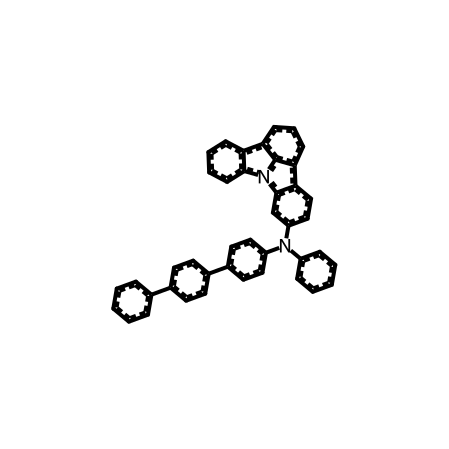 c1ccc(-c2ccc(-c3ccc(N(c4ccccc4)c4ccc5c6cccc7c8ccccc8n(c5c4)c76)cc3)cc2)cc1